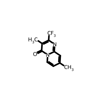 Cc1ccn2c(=O)c(C)c(C(F)(F)F)nc2c1